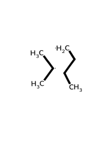 C[CH]C.[CH2]CCC